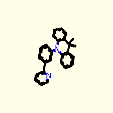 CC1(C)c2ccccc2N(c2cccc(-c3ccccn3)c2)c2ccccc21